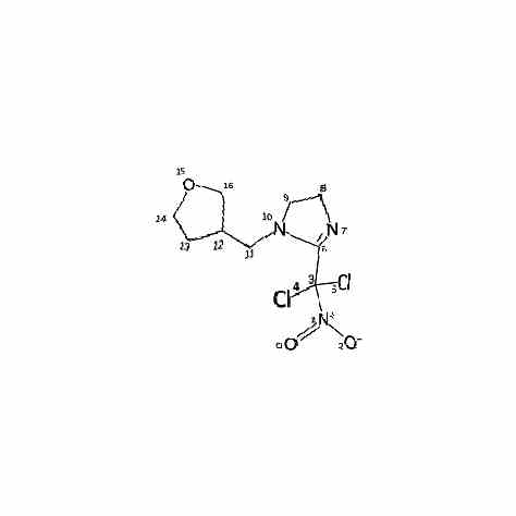 O=[N+]([O-])C(Cl)(Cl)C1=NCCN1CC1CCOC1